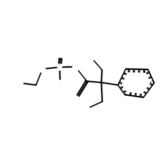 CCOP(=O)(O)OC(=O)C(CC)(CC)c1ccccc1